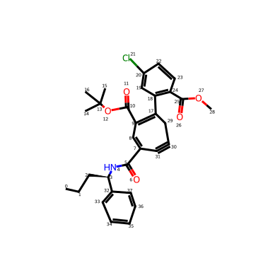 CCC[C@@H](NC(=O)C1=CC(C(=O)OC(C)(C)C)=C(c2cc(Cl)ccc2C(=O)OC)CC#C1)c1ccccc1